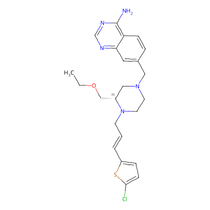 CCOC[C@@H]1CN(Cc2ccc3c(N)ncnc3c2)CCN1CC=Cc1ccc(Cl)s1